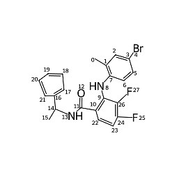 Cc1cc(Br)ccc1Nc1c(C(=O)NC(C)c2ccccc2)ccc(F)c1F